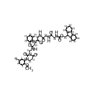 COc1ccc(I)cc1N1CCC(=O)N(CNC(=O)CNC(=O)[C@H](Cc2ccccc2)NC(=O)CNC(=O)CNC(=O)OCC2c3ccccc3-c3ccccc32)C1=O